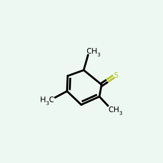 CC1=CC(C)C(=S)C(C)=C1